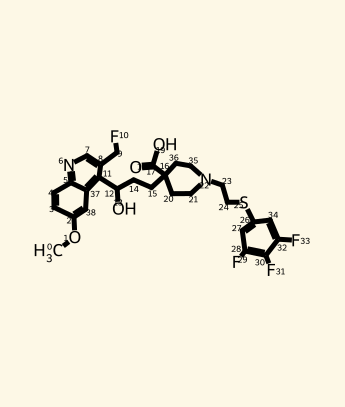 COc1ccc2ncc(CF)c(C(O)CCC3(C(=O)O)CCN(CCSc4cc(F)c(F)c(F)c4)CC3)c2c1